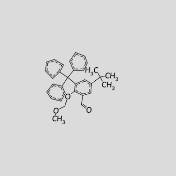 COCOc1c(C=O)cc(C(C)(C)C)cc1C(c1ccccc1)(c1ccccc1)c1ccccc1